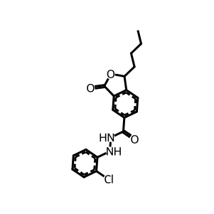 CCCCC1OC(=O)c2cc(C(=O)NNc3ccccc3Cl)ccc21